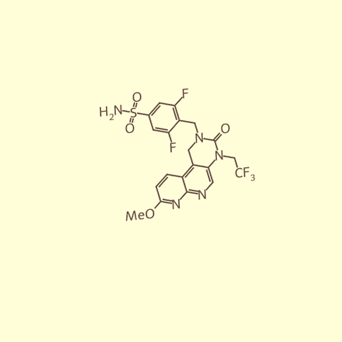 COc1ccc2c3c(cnc2n1)N(CC(F)(F)F)C(=O)N(Cc1c(F)cc(S(N)(=O)=O)cc1F)C3